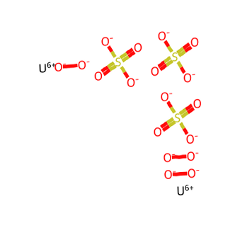 O=S(=O)([O-])[O-].O=S(=O)([O-])[O-].O=S(=O)([O-])[O-].[O-][O-].[O-][O-].[O-][O-].[U+6].[U+6]